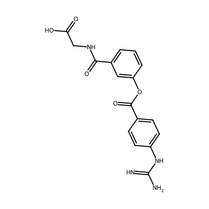 N=C(N)Nc1ccc(C(=O)Oc2cccc(C(=O)NCC(=O)O)c2)cc1